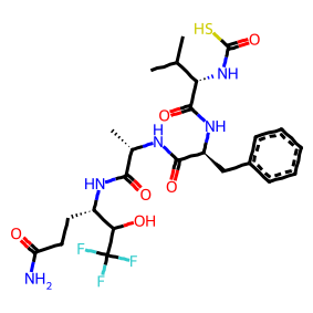 CC(C)[C@H](NC(=O)S)C(=O)N[C@@H](Cc1ccccc1)C(=O)N[C@@H](C)C(=O)N[C@@H](CCC(N)=O)C(O)C(F)(F)F